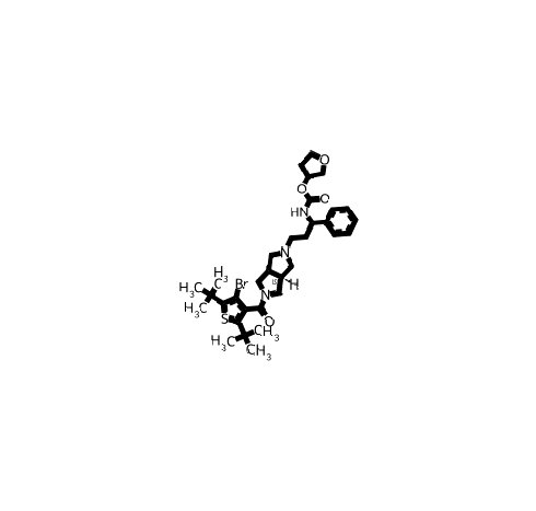 CC(C)(C)c1sc(C(C)(C)C)c(C(=O)N2CC3CN(CCC(NC(=O)OC4CCOC4)c4ccccc4)C[C@H]3C2)c1Br